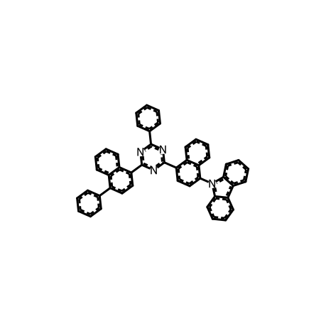 c1ccc(-c2nc(-c3ccc(-c4ccccc4)c4ccccc34)nc(-c3ccc(-n4c5ccccc5c5ccccc54)c4ccccc34)n2)cc1